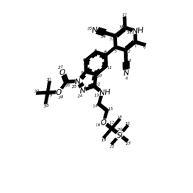 CC1=C(C#N)C(c2ccc3c(c2)c(NCCOC(C)(C)[Si](C)(C)C)nn3C(=O)OC(C)(C)C)C(C#N)=C(C)N1